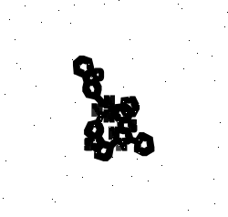 c1ccc(-c2nc(-c3ccc4c(c3)oc3ccccc34)nc(-c3ccc4sc5cccc(-c6nc(-c7ccccc7)c7sc8ccccc8c7n6)c5c4c3)n2)cc1